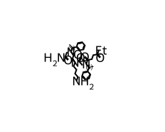 CCC(=O)CCC(=O)N(CC(=O)N(CCCCN)CC(=O)N(CC(N)=O)[C@@H](C)c1ccccc1)[C@@H](C)c1ccccc1